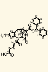 Nc1nc2c(s1)C1C=C(C(=O)OC(c3ccccc3)c3ccccc3)N3C(=O)C([C@@H]3S1)N2C(=O)C=CCC(=O)O